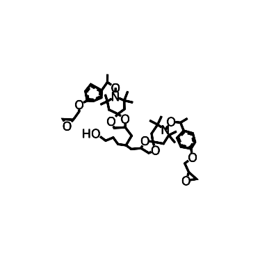 CC(ON1C(C)(C)CC2(CC1(C)C)OCC(CC(CCCO)CC1COC3(CC(C)(C)N(OC(C)c4ccc(OCC5CO5)cc4)C(C)(C)C3)O1)O2)c1ccc(OCC2CO2)cc1